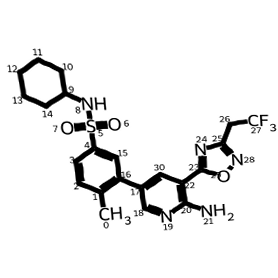 Cc1ccc(S(=O)(=O)NC2CCCCC2)cc1-c1cnc(N)c(-c2nc(CC(F)(F)F)no2)c1